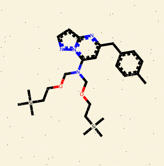 Cc1ccc(Cc2cc(N(COCC[Si](C)(C)C)COCC[Si](C)(C)C)n3nccc3n2)cc1